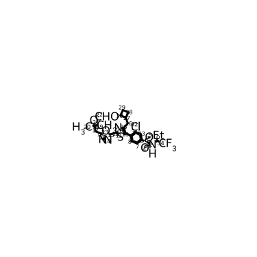 CC[C@H](NS(=O)(=O)c1ccc(-c2sc(-c3nnc(CC(C)(C)OC=O)o3)nc2CC2CCC2)c(Cl)c1)C(F)(F)F